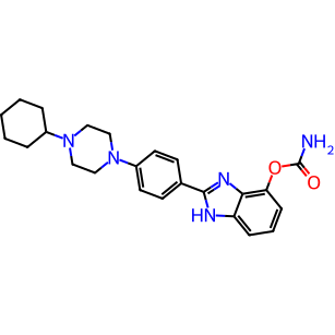 NC(=O)Oc1cccc2[nH]c(-c3ccc(N4CCN(C5CCCCC5)CC4)cc3)nc12